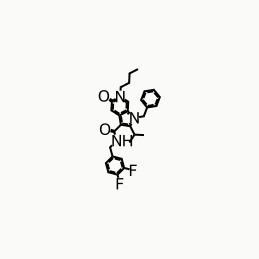 CCCCn1cc2c(cc1=O)c(C(=O)NCc1ccc(F)c(F)c1)c(C(C)C)n2Cc1ccccc1